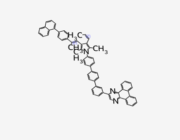 C/C=C\c1c(/C=C(\C)c2ccc(-c3cccc4ccccc34)cc2)c(C)n(-c2ccc(-c3ccc(-c4cccc(-c5cnc6c7ccccc7c7ccccc7c6n5)c4)cc3)cc2)c1C